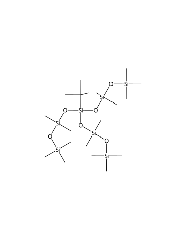 CC(C)(C)[Si](O[Si](C)(C)O[Si](C)(C)C)(O[Si](C)(C)O[Si](C)(C)C)O[Si](C)(C)O[Si](C)(C)C